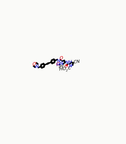 CC(C)C(=O)N1C[C@H](NC(=O)[C@@H]2C[C@H](C#N)CN2C(=O)O)C[C@@H]1C(=O)NCc1ccc(C#Cc2ccc(CN3CCOCC3)cc2)cc1